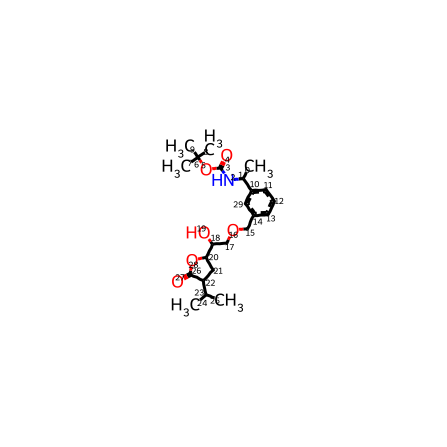 CC(NC(=O)OC(C)(C)C)c1cccc(COCC(O)C2CC(C(C)C)C(=O)O2)c1